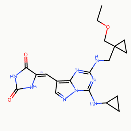 CCOCC1(CNc2nc(NC3CC3)n3ncc(/C=C4\NC(=O)NC4=O)c3n2)CC1